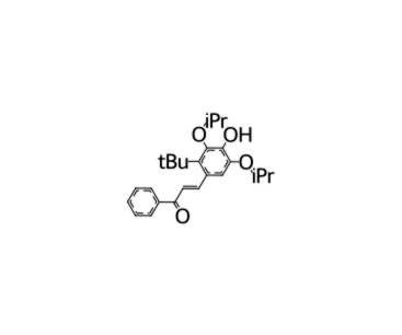 CC(C)Oc1cc(C=CC(=O)c2ccccc2)c(C(C)(C)C)c(OC(C)C)c1O